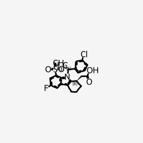 C[C@@H](c1cccc(Cl)c1)n1c2c(c3cc(F)cc(S(C)(=O)=O)c31)CCC[C@@H]2CC(=O)O